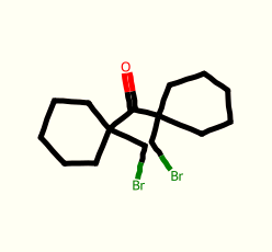 O=C(C1(CBr)CCCCC1)C1(CBr)CCCCC1